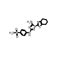 Nc1nc(Nc2ccc(S(N)(=O)=O)cc2)nn1-c1nc2c(s1)CCCC2